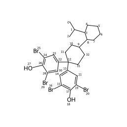 CC(C)C1CCCCC1C1CCC(c2cc(Br)c(O)c(Br)c2)(c2cc(Br)c(O)c(Br)c2)CC1